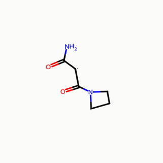 NC(=O)[CH]C(=O)N1CCC1